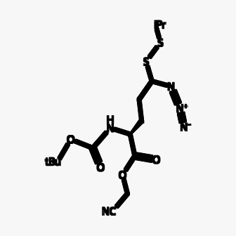 CC(C)SSC(CC[C@H](NC(=O)OC(C)(C)C)C(=O)OCC#N)N=[N+]=[N-]